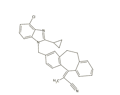 C/C(C#N)=C1/c2ccccc2CCc2cc(Cn3c(C4CC4)nc4c(Cl)cccc43)ccc21